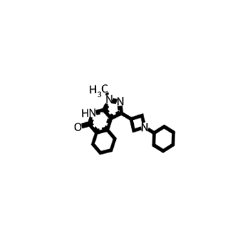 Cn1nc(C2CN(C3CCCCC3)C2)c2c3c(c(=O)[nH]c21)CCCC3